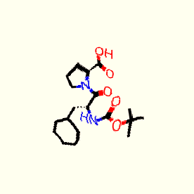 CC(C)(C)OC(=O)N[C@H](CC1CCCCC1)C(=O)N1CCC[C@H]1C(=O)O